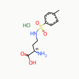 Cc1ccc(S(=O)(=O)NCC[C@@H](N)C(=O)O)cc1.Cl